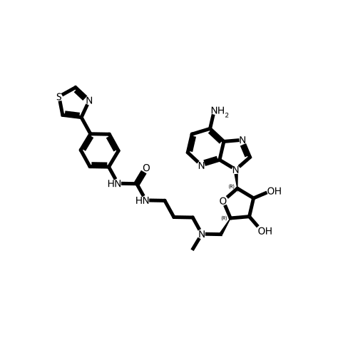 CN(CCCNC(=O)Nc1ccc(-c2cscn2)cc1)C[C@H]1O[C@@H](n2cnc3c(N)ccnc32)C(O)C1O